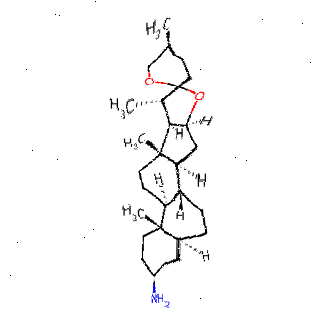 C[C@H]1CC[C@@]2(OC1)O[C@H]1C[C@H]3[C@@H]4CC[C@H]5C[C@@H](N)CC[C@]5(C)[C@H]4CC[C@]3(C)[C@H]1[C@@H]2C